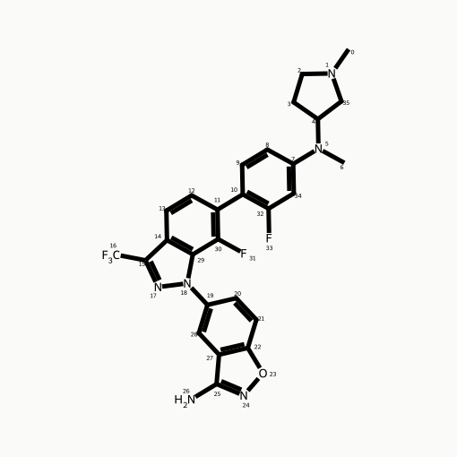 CN1CCC(N(C)c2ccc(-c3ccc4c(C(F)(F)F)nn(-c5ccc6onc(N)c6c5)c4c3F)c(F)c2)C1